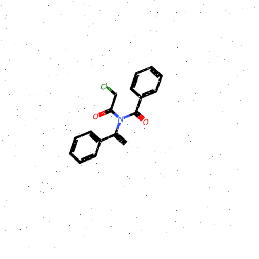 C=C(c1ccccc1)N(C(=O)CCl)C(=O)c1ccccc1